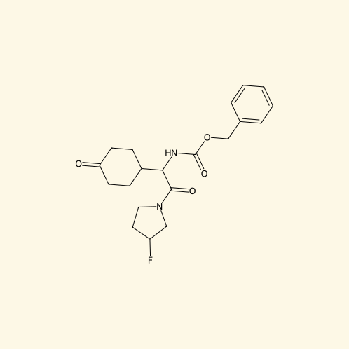 O=C1CCC(C(NC(=O)OCc2ccccc2)C(=O)N2CCC(F)C2)CC1